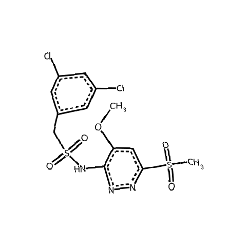 COc1cc(S(C)(=O)=O)nnc1NS(=O)(=O)Cc1cc(Cl)cc(Cl)c1